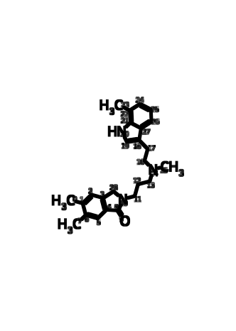 Cc1cc2c(cc1C)C(=O)N(CCCN(C)CCc1c[nH]c3c(C)cccc13)C2